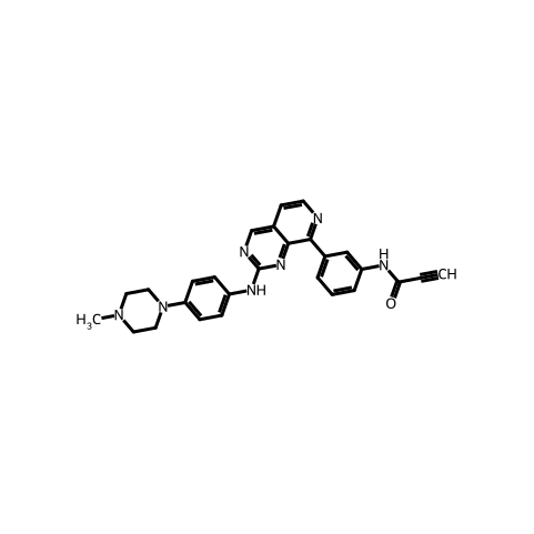 C#CC(=O)Nc1cccc(-c2nccc3cnc(Nc4ccc(N5CCN(C)CC5)cc4)nc23)c1